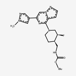 Cn1cc(-c2cn3nccc3c(N3CC[C@H](CNC(=O)OC(C)(C)C)[C@H](F)C3)n2)cn1